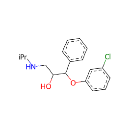 CC(C)NCC(O)C(Oc1cccc(Cl)c1)c1ccccc1